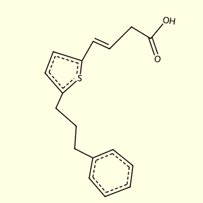 O=C(O)CC=Cc1ccc(CCCc2ccccc2)s1